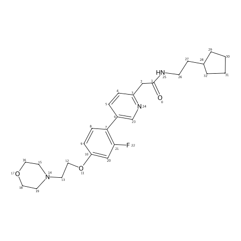 O=C(Cc1ccc(-c2ccc(OCCN3CCOCC3)cc2F)cn1)NCCC1CCCC1